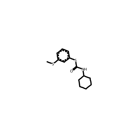 CSc1cccc(SC(=O)NC2CCCCC2)c1